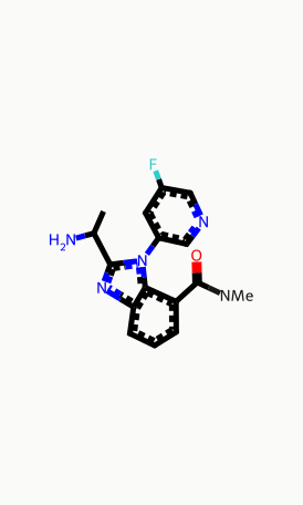 CNC(=O)c1cccc2nc(C(C)N)n(-c3cncc(F)c3)c12